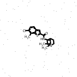 Cc1c(Cl)ccc2cc(C(=O)NC3C4CCN(CC4)C3(C)C)sc12